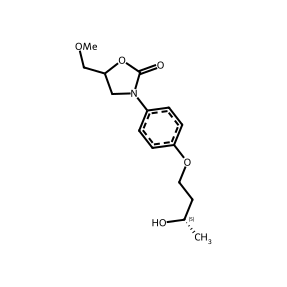 COCC1CN(c2ccc(OCC[C@H](C)O)cc2)C(=O)O1